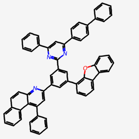 c1ccc(-c2ccc(-c3cc(-c4ccccc4)nc(-c4cc(-c5cc(-c6ccccc6)c6c(ccc7ccccc76)n5)cc(-c5cccc6c5oc5ccccc56)c4)n3)cc2)cc1